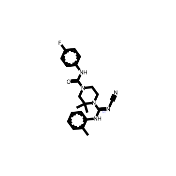 Cc1ccccc1N/C(=N/C#N)N1CCN(C(=O)Nc2ccc(F)cc2)CC1(C)C